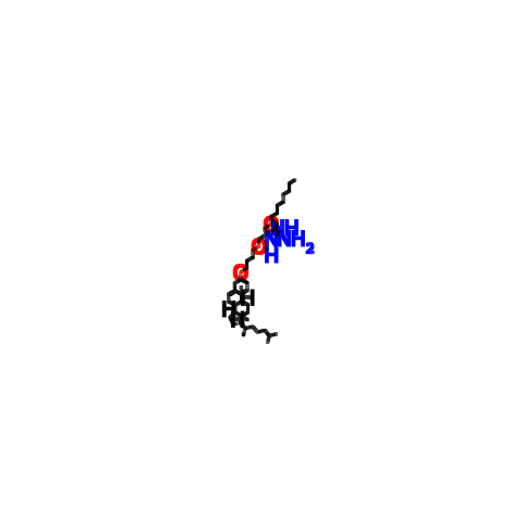 CCCCCCCCOC[C@H](COCCCCOC1CC[C@@]2(C)C(=CC[C@H]3[C@@H]4CC[C@H]([C@H](C)CCCC(C)C)[C@@]4(C)CC[C@@H]32)C1)NC(=N)N